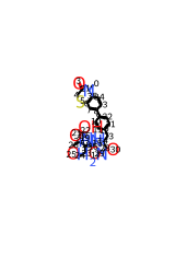 CN1C(=O)CSc2cc(-c3ccc(CC(NC(=O)C4(NC(=O)O)CCOCC4)C(N)=O)cc3)ccc21